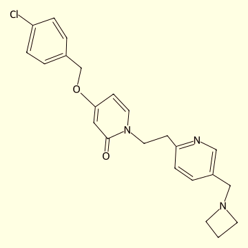 O=c1cc(OCc2ccc(Cl)cc2)ccn1CCc1ccc(CN2CCC2)cn1